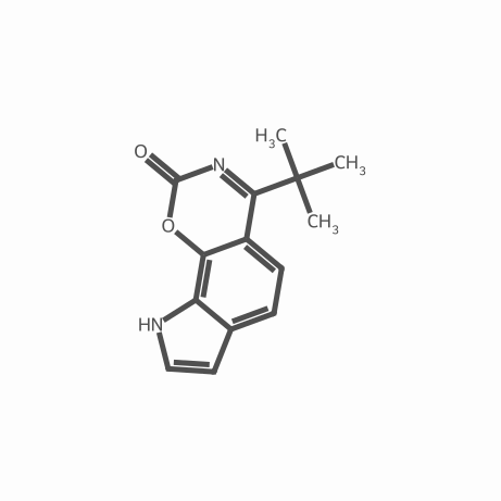 CC(C)(C)c1nc(=O)oc2c1ccc1cc[nH]c12